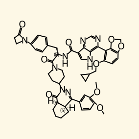 COc1ccc(C2=NN(C3CCN(C(=O)[C@@H](Cc4ccc(N5CCC5=O)cc4)NC(=O)c4c[nH]c5c(-c6c(OCC7CC7)ccc7c6OCO7)ncnc45)CC3)C(=O)[C@@H]3CCCC[C@H]23)cc1OC